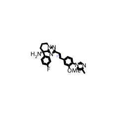 COc1cc(/C=C/c2nc3n(n2)CCC[C@]3(N)c2ccc(F)cc2)ccc1-n1cnc(C)c1